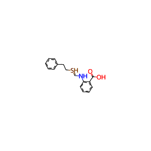 O=C(O)c1ccccc1NC=[SH]CCc1ccccc1